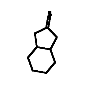 S=C1CC2CCCCC2C1